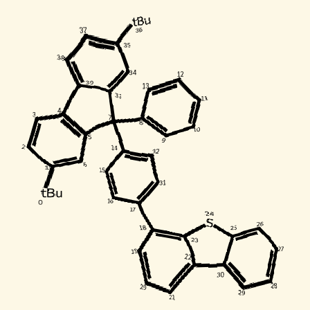 CC(C)(C)c1ccc2c(c1)C(c1ccccc1)(c1ccc(-c3cccc4c3sc3ccccc34)cc1)c1cc(C(C)(C)C)ccc1-2